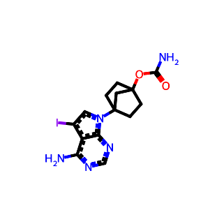 NC(=O)OC12CCC(n3cc(I)c4c(N)ncnc43)(CC1)C2